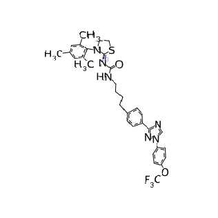 Cc1cc(C)c(N2CCS/C2=N\C(=O)NCCCCc2ccc(-c3ncn(-c4ccc(OC(F)(F)F)cc4)n3)cc2)c(C)c1